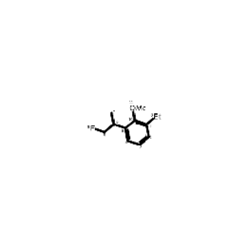 CCc1cccc([C](C)CF)c1OC